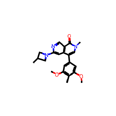 COc1cc(-c2cn(C)c(=O)c3cnc(N4CC(C)C4)cc23)cc(OC)c1C